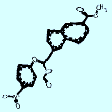 COC(=O)c1ccc2cc(C(OC=O)Oc3ccc([N+](=O)[O-])cc3)ccc2c1